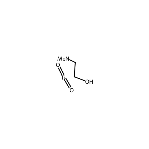 CNCCO.[O]=[Ti]=[O]